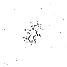 CC1=C(Cl)C(C)(C)C(C)=C1[SiH2]C1=C(C)C(C)(C)C(Cl)=C1C.[Hf]